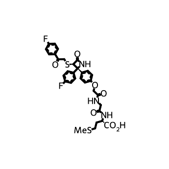 CSCC[C@H](NC(=O)CNC(=O)COc1ccc([C@]2(c3ccc(F)cc3)NC(=O)[C@@H]2SCC(=O)c2ccc(F)cc2)cc1)C(=O)O